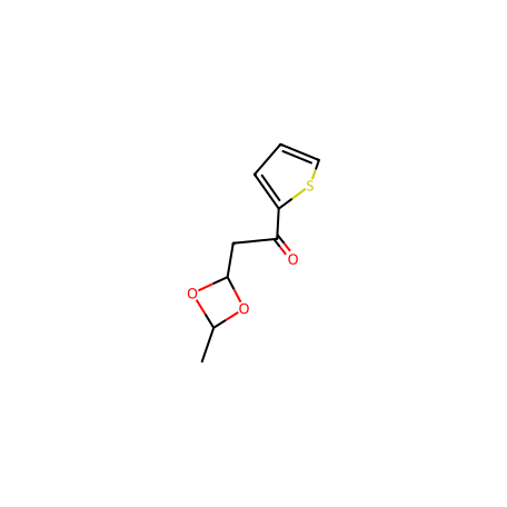 CC1OC(CC(=O)c2cccs2)O1